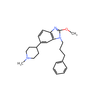 COc1nc2ccc(C3CCN(C)CC3)cc2n1CCCc1ccccc1